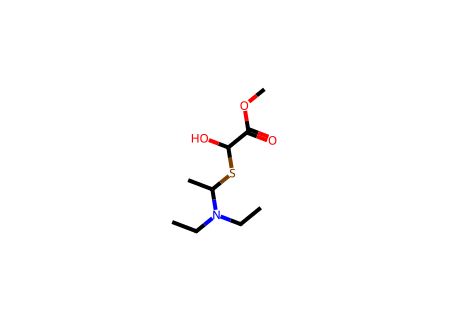 CCN(CC)C(C)SC(O)C(=O)OC